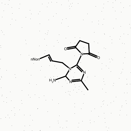 CCCCCCCCCC=CCN1C(N2C(=O)CCC2=O)=NC(C)=NC1N